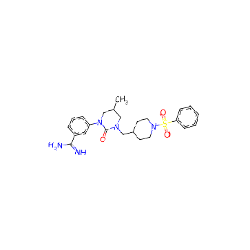 CC1CN(CC2CCN(S(=O)(=O)c3ccccc3)CC2)C(=O)N(c2cccc(C(=N)N)c2)C1